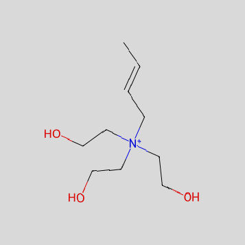 CC=CC[N+](CCO)(CCO)CCO